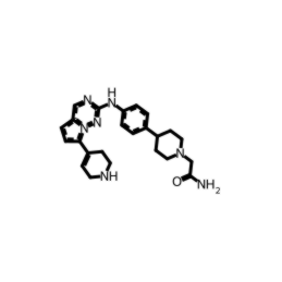 NC(=O)CN1CCC(c2ccc(Nc3ncc4ccc(C5=CCNCC5)n4n3)cc2)CC1